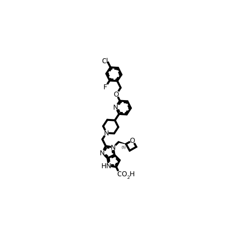 O=C(O)c1cc2c(nc(CN3CCC(c4cccc(OCc5ccc(Cl)cc5F)n4)CC3)n2C[C@@H]2CCO2)[nH]1